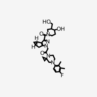 Cc1c(F)ccc(N2CCN(C(=O)Cn3nc(C(=O)N4CCC(O)C(CO)C4)c4c3C[C@H]3C[C@@H]43)C3(CC3)C2)c1C